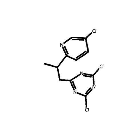 CC(Cc1nc(Cl)nc(Cl)n1)c1ccc(Cl)cn1